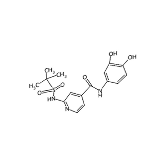 CC(C)(C)S(=O)(=O)Nc1cc(C(=O)Nc2ccc(O)c(O)c2)ccn1